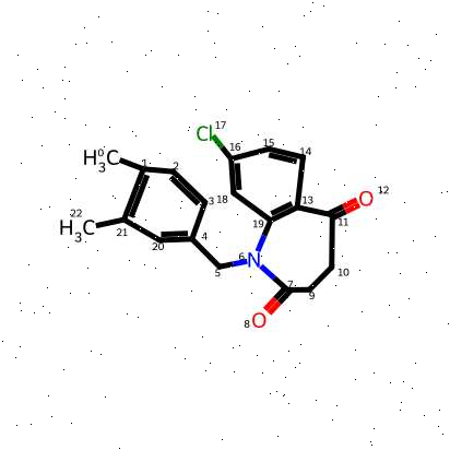 Cc1ccc(CN2C(=O)CCC(=O)c3ccc(Cl)cc32)cc1C